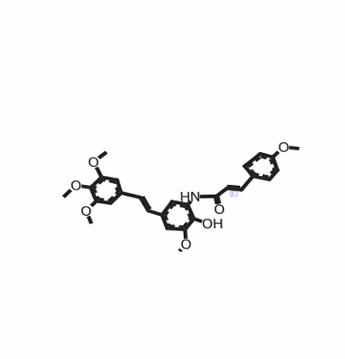 COc1ccc(/C=C/C(=O)Nc2cc(C=Cc3cc(OC)c(OC)c(OC)c3)cc(OC)c2O)cc1